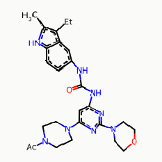 CCc1c(C)[nH]c2ccc(NC(=O)Nc3cc(N4CCN(C(C)=O)CC4)nc(N4CCOCC4)n3)cc12